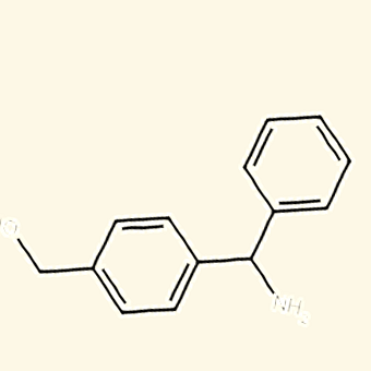 NC(c1ccccc1)c1ccc(CO)cc1